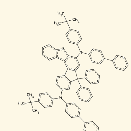 CC(C)(C)c1ccc(N(c2ccc(-c3ccccc3)cc2)c2ccc3c(c2)C(c2ccccc2)(c2ccccc2)c2cc(N(c4ccc(-c5ccccc5)cc4)c4ccc(C(C)(C)C)cc4)c4sc5ccccc5c4c2-3)cc1